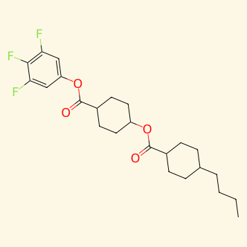 CCCCC1CCC(C(=O)OC2CCC(C(=O)Oc3cc(F)c(F)c(F)c3)CC2)CC1